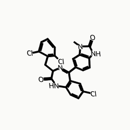 Cn1c(=O)[nH]c2ccc(C3=NC(Cc4c(Cl)cccc4Cl)C(=O)Nc4ccc(Cl)cc43)cc21